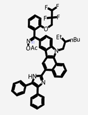 CCCCC(CC)Cn1c2ccc(/C(=N\OC(C)=O)c3ccccc3OCC(F)(F)C(F)F)cc2c2cc(-c3nc(-c4ccccc4)c(-c4ccccc4)[nH]3)c3ccccc3c21